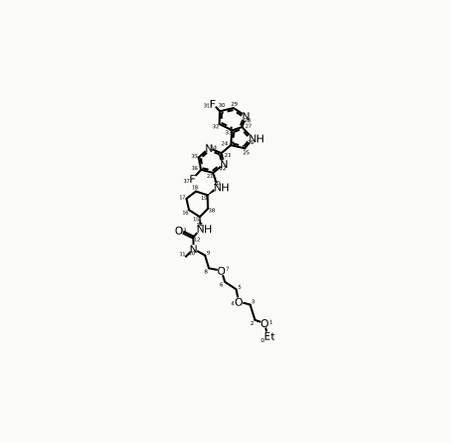 CCOCCOCCOCCN(C)C(=O)N[C@H]1CCC[C@@H](Nc2nc(-c3c[nH]c4ncc(F)cc34)ncc2F)C1